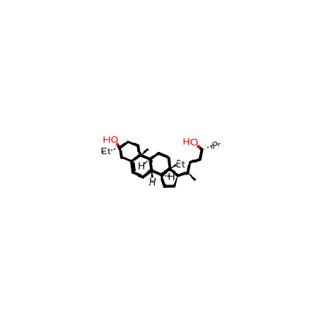 CC[C@]1(O)CC[C@@]2(C)C(=CC[C@H]3[C@@H]4CC[C@H]([C@H](C)CC[C@H](O)C(C)C)[C@@]4(CC)CC[C@@H]32)C1